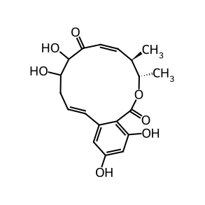 C[C@@H]1/C=C\C(=O)C(O)C(O)C/C=C/c2cc(O)cc(O)c2C(=O)O[C@H]1C